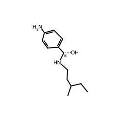 CCC(C)CCN[C@@H](O)c1ccc(N)cc1